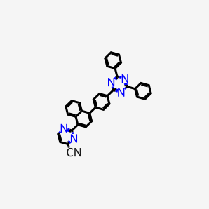 N#Cc1ccnc(-c2ccc(-c3ccc(-c4nc(-c5ccccc5)nc(-c5ccccc5)n4)cc3)c3ccccc23)n1